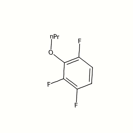 CCCOc1c(F)ccc(F)c1F